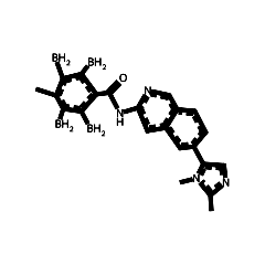 Bc1c(B)c(C(=O)Nc2cc3cc(-c4cnc(C)n4C)ccc3cn2)c(B)c(B)c1C